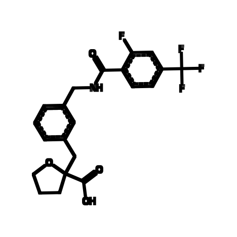 O=C(NCc1cccc(CC2(C(=O)O)CCCO2)c1)c1ccc(C(F)(F)F)cc1F